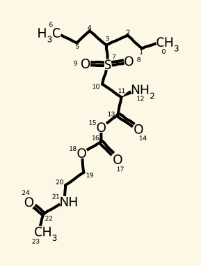 CCCC(CCC)S(=O)(=O)C[C@@H](N)C(=O)OC(=O)OCCNC(C)=O